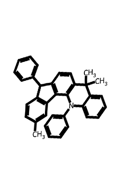 Cc1ccc2c(c1)-c1c(ccc3c1N(c1ccccc1)c1ccccc1C3(C)C)C2c1ccccc1